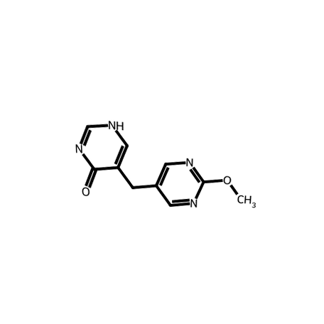 COc1ncc(Cc2c[nH]cnc2=O)cn1